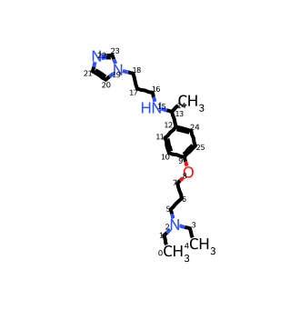 CCN(CC)CCCOc1ccc(C(C)NCCCn2ccnc2)cc1